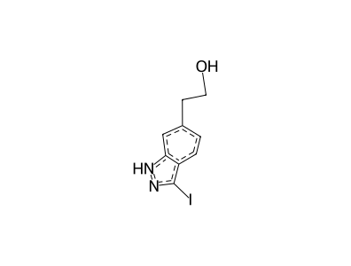 OCCc1ccc2c(I)n[nH]c2c1